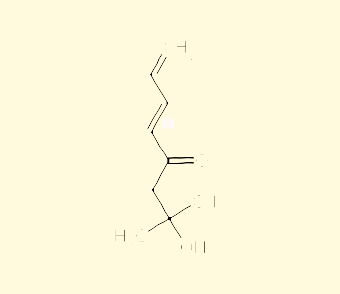 C=C/C=C/C(=O)CC(C)(C)O